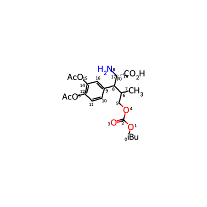 CCC(C)OC(=O)OCC(C)C(c1ccc(OC(C)=O)c(OC(C)=O)c1)[C@H](N)C(=O)O